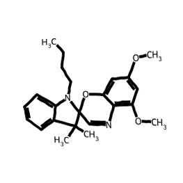 CCCCN1c2ccccc2C(C)(C)C12C=Nc1c(OC)cc(OC)cc1O2